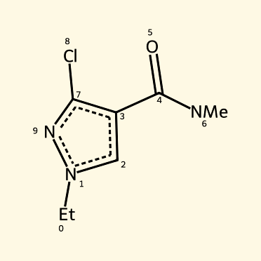 CCn1cc(C(=O)NC)c(Cl)n1